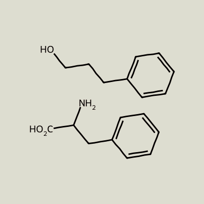 NC(Cc1ccccc1)C(=O)O.OCCCc1ccccc1